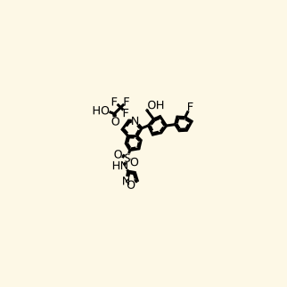 O=C(O)C(F)(F)F.O=S(=O)(Nc1ccon1)c1ccc2c(-c3ccc(-c4cccc(F)c4)cc3CO)nccc2c1